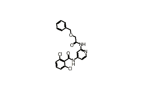 O=C(COCc1ccccc1)Nc1cc(NC(=O)c2c(Cl)cccc2Cl)ccn1